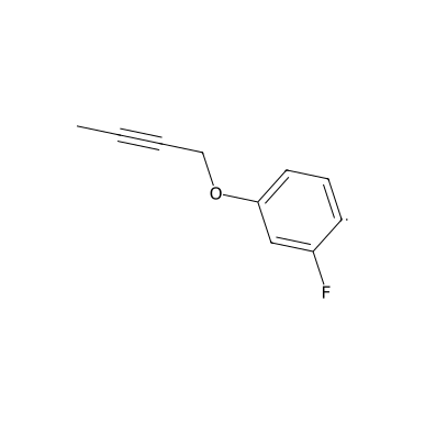 CC#CCOc1cc[c]c(F)c1